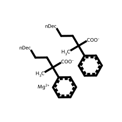 CCCCCCCCCCCCC(C)(C(=O)[O-])c1ccccc1.CCCCCCCCCCCCC(C)(C(=O)[O-])c1ccccc1.[Mg+2]